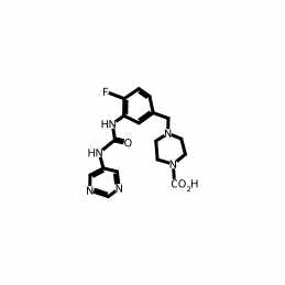 O=C(Nc1cncnc1)Nc1cc(CN2CCN(C(=O)O)CC2)ccc1F